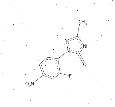 Cc1nn(-c2ccc([N+](=O)[O-])cc2F)c(=O)[nH]1